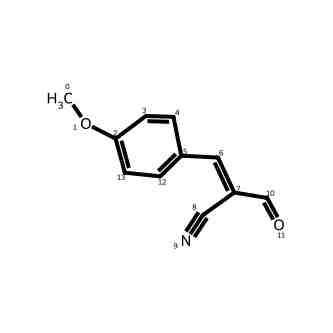 COc1ccc(/C=C(\C#N)C=O)cc1